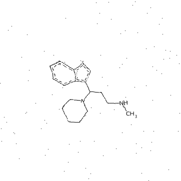 CNCCC(c1csc2ccccc12)N1CCCCC1